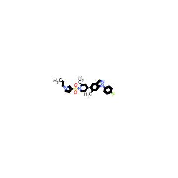 CCCn1ccc(S(=O)(=O)N2CC[C@@H](c3cc4cnn(-c5ccc(F)cc5)c4cc3C)C[C@H]2C)c1